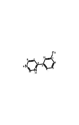 Fc1cccc(-c2c[c]ncn2)c1